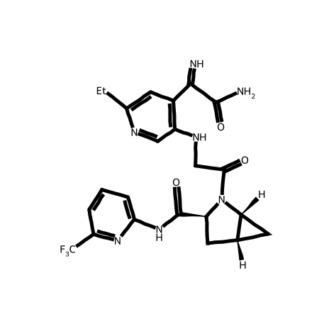 CCc1cc(C(=N)C(N)=O)c(NCC(=O)N2[C@@H]3C[C@@H]3C[C@H]2C(=O)Nc2cccc(C(F)(F)F)n2)cn1